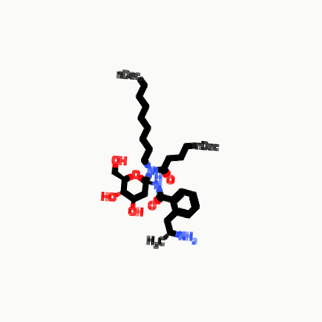 CCCCCCCCCCCCCCCCCCN(C(=O)CCCCCCCCCCCCC)[C@@]1(NC(=O)c2ccccc2C[C@@H](C)N)C[C@@H](O)[C@H](O)[C@@H](CO)O1